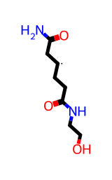 NC(=O)C[CH]CCC(=O)NCCO